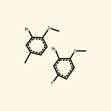 COc1ccc(C)cc1Br.COc1ccc(F)cc1Br